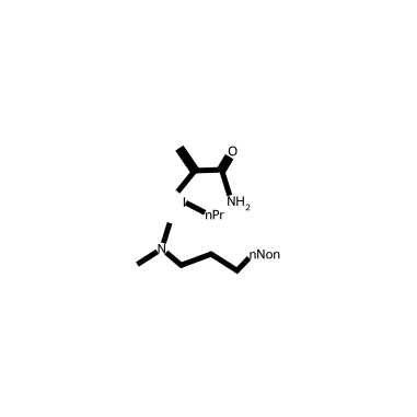 C=C(C)C(N)=O.CCCCCCCCCCCCN(C)C.CCCI